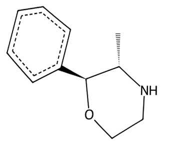 C[C@@H]1NCCO[C@H]1c1ccccc1